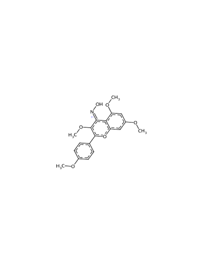 COc1ccc(-c2oc3cc(OC)cc(OC)c3/c(=N\O)c2OC)cc1